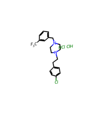 Cl.Cl.FC(F)(F)c1cccc(CN2CCN(CCc3ccc(Cl)cc3)CC2)c1